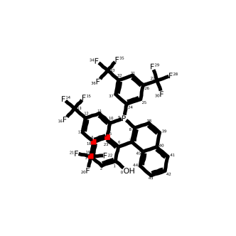 Oc1ccccc1-c1c(P(c2cc(C(F)(F)F)cc(C(F)(F)F)c2)c2cc(C(F)(F)F)cc(C(F)(F)F)c2)ccc2ccccc12